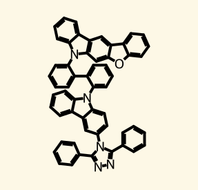 c1ccc(-c2nnc(-c3ccccc3)n2-c2ccc3c(c2)c2ccccc2n3-c2ccccc2-c2ccccc2-n2c3ccccc3c3cc4c(cc32)oc2ccccc24)cc1